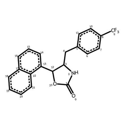 O=C1NC(Cc2ccc(C(F)(F)F)cc2)C(c2cccc3ccccc23)O1